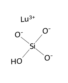 [Lu+3].[O-][Si]([O-])([O-])O